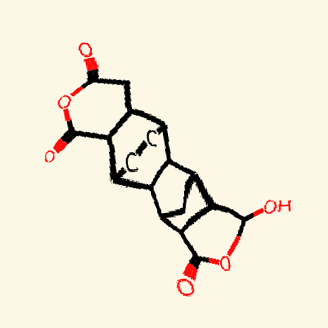 O=C1CC2C3CCC(C2C(=O)O1)C1C2CC(C4C(O)OC(=O)C24)C31